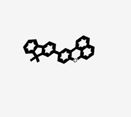 CC1(C)c2ccccc2-c2ccc(-c3ccc4c(c3)-c3cccc5cccc(c35)O4)cc21